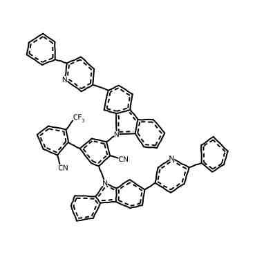 N#Cc1cccc(C(F)(F)F)c1-c1cc(-n2c3ccccc3c3ccc(-c4ccc(-c5ccccc5)nc4)cc32)c(C#N)c(-n2c3ccccc3c3ccc(-c4ccc(-c5ccccc5)nc4)cc32)c1